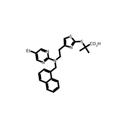 CCc1cnc(N(CCc2csc(SC(C)(C)C(=O)O)n2)Cc2cccc3ccccc23)nc1